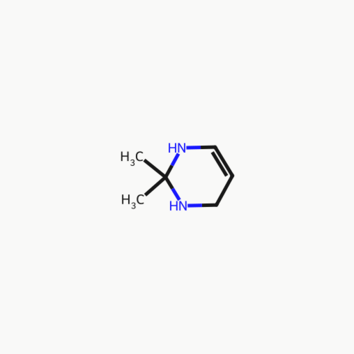 CC1(C)NC=CCN1